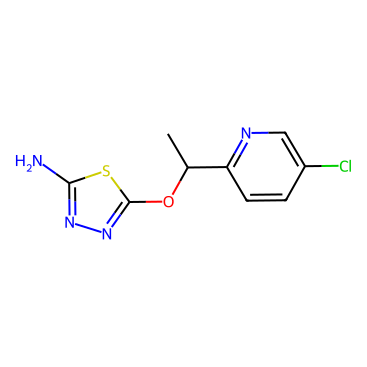 CC(Oc1nnc(N)s1)c1ccc(Cl)cn1